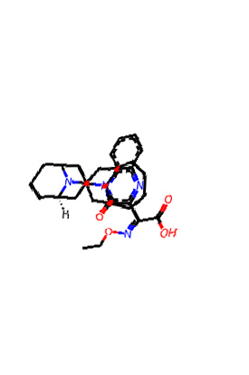 CCO/N=C(/C(=O)O)c1nc2ccccc2n(C2CC3CCC[C@H](C2)N3C2CC3CCCCC(C3)C2)c1=O